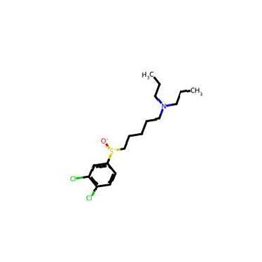 CCCN(CCC)CCCCC[S+]([O-])c1ccc(Cl)c(Cl)c1